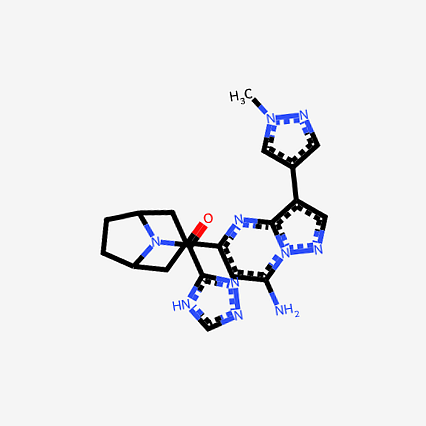 Cn1cc(-c2cnn3c(N)cc(C4CC5CCC(C4)N5C(=O)c4nnc[nH]4)nc23)cn1